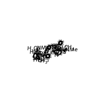 CN[C@@H](C)C(=S)N[C@H]1CCS[C@H]2CC(C)(C)[C@@H](C(=O)N[C@H](COCc3ccc(COC[C@@H](NC(=O)[C@H]4N5C(=O)[C@@H](NC(=S)[C@H](C)NC)CCS[C@H]5CC4(C)C)c4ccccc4)cc3)c3ccccc3)N2C1=O